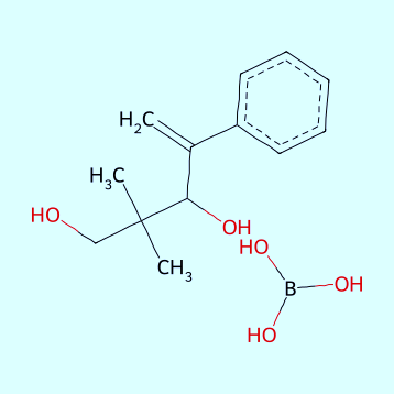 C=C(c1ccccc1)C(O)C(C)(C)CO.OB(O)O